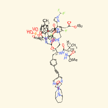 COC(=O)N[C@H](C(=O)N[C@@H](Cc1ccc(C#Cc2cnc(N3CC4CCC(C3)N4C3COC3)nc2)cc1)[C@H](CN(Cc1c(F)cc(-c2ccn(C(F)F)n2)cc1F)NC(=O)[C@@H](NC(=O)OC)C(C)(C)C(F)(F)F)OC(=O)CC(C)(C)c1c(CC(=O)NCCC(=O)OC(C)(C)C)cc(C)cc1OP(=O)(O)O)C(C)(C)C(F)(F)F